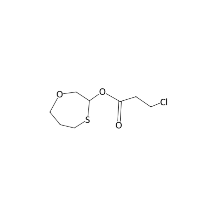 O=C(CCCl)OC1COCCCS1